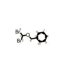 BrC(Br)OCc1ccccc1